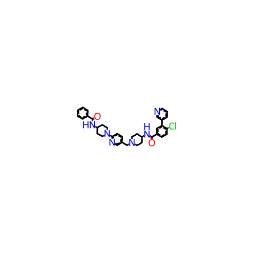 O=C(NC1CCN(Cc2ccc(N3CCC(NC(=O)c4ccccc4)CC3)nc2)CC1)c1ccc(Cl)c(-c2cccnc2)c1